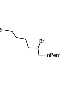 CCCCCCC(Br)CCCCBr